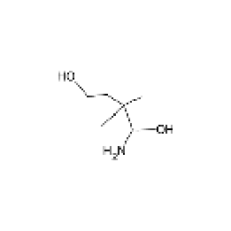 CC(C)(CCO)C(N)O